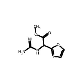 COC(=O)C(NC(=N)N)c1ncco1